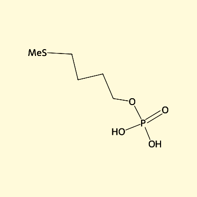 CSCCCCOP(=O)(O)O